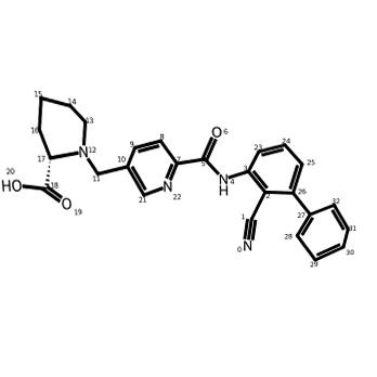 N#Cc1c(NC(=O)c2ccc(CN3CCCC[C@H]3C(=O)O)cn2)cccc1-c1ccccc1